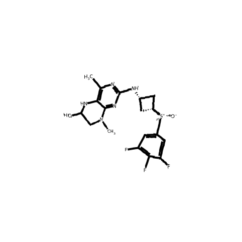 Cc1nc(N[C@H]2C[C@@H]([S@+]([O-])c3cc(F)c(F)c(F)c3)C2)nc2c1NC(O)CN2C